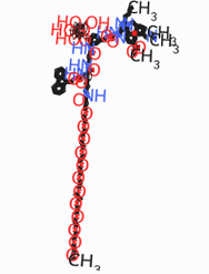 CCCCc1nc2c(NC(=O)OCc3ccc(O[C@H]4O[C@H](CO)[C@@H](O)[C@H](O)[C@@H]4O)c(NC(=O)CCNC(=O)[C@H](CCCCNC(=O)CCOCCOCCOCCOCCOCCOCCOCCOCCOCCOCCOCCOC)NC(=O)OCC4c5ccccc5-c5ccccc54)c3)nc3cc(C(=O)OC)ccc3c2n1Cc1ccc(CN(C)C)cc1